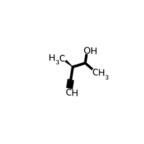 C#C[C@@H](C)C(C)O